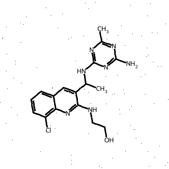 Cc1nc(N)nc(NC(C)c2cc3cccc(Cl)c3nc2NCCO)n1